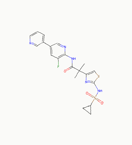 CC(C)(C(=O)Nc1ncc(-c2cccnc2)cc1F)c1csc(NS(=O)(=O)C2CC2)n1